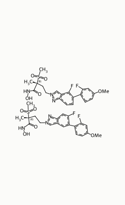 COc1ccc(-c2cc3cn(CC[C@](C)(C(=O)NO)S(C)(=O)=O)nc3cc2F)c(F)c1.COc1ccc(-c2ccc3nn(CC[C@](C)(C(=O)NO)S(C)(=O)=O)cc3c2F)c(F)c1